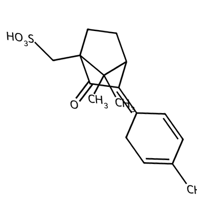 CC1=CCC(=C2C(=O)C3(CS(=O)(=O)O)CCC2C3(C)C)C=C1